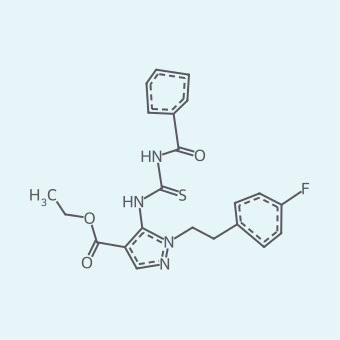 CCOC(=O)c1cnn(CCc2ccc(F)cc2)c1NC(=S)NC(=O)c1ccccc1